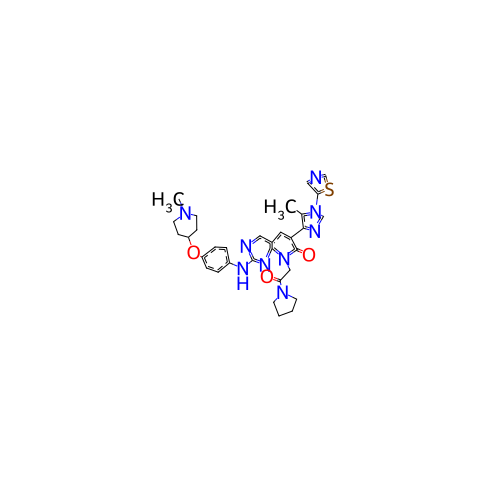 Cc1c(-c2cc3cnc(Nc4ccc(OC5CCN(C)CC5)cc4)nc3n(CC(=O)N3CCCC3)c2=O)ncn1-c1cncs1